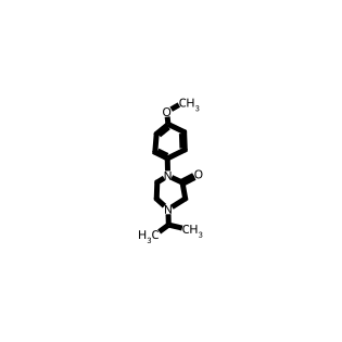 COc1ccc(N2CCN(C(C)C)CC2=O)cc1